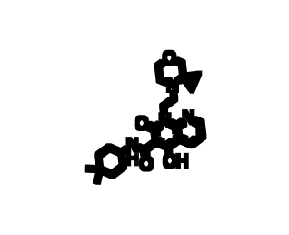 CC1(C)CCC(NC(=O)c2c(O)c3cccnc3n(CCN3CCOCC34CC4)c2=O)CC1